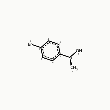 C[C@H](O)c1ccc(Br)cn1